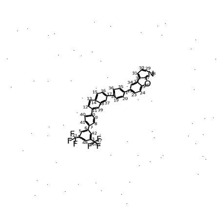 FC(F)(F)c1cc(-c2ccc(-c3ccc4ccc(-c5ccc(-c6ccc7oc8ncccc8c7c6)cc5)cc4c3)cc2)cc(C(F)(F)F)c1